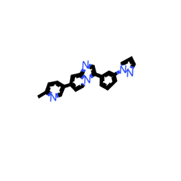 Cc1ccc(-c2ccn3c(-c4cccc(-n5cccn5)c4)cnc3c2)cn1